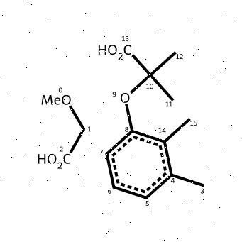 COCC(=O)O.Cc1cccc(OC(C)(C)C(=O)O)c1C